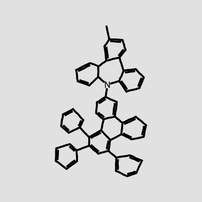 Cc1ccc2c(c1)C1C=CC=CC1N(c1ccc3c(c1)c1ccccc1c1c(-c4ccccc4)cc(-c4ccccc4)c(-c4ccccc4)c31)c1ccccc1-2